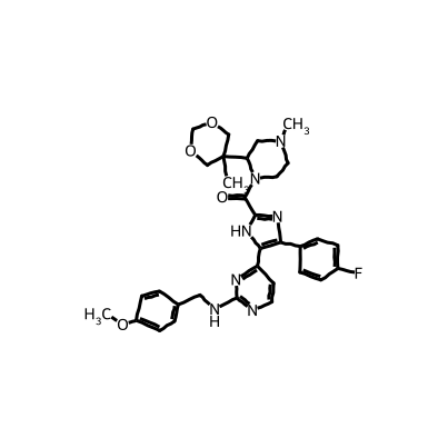 COc1ccc(CNc2nccc(-c3[nH]c(C(=O)N4CCN(C)CC4C4(C)COCOC4)nc3-c3ccc(F)cc3)n2)cc1